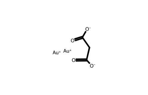 O=C([O-])CC(=O)[O-].[Au+].[Au+]